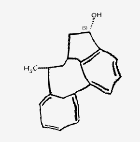 CC1c2ccccc2-c2cccc3c2C1C[C@@H]3O